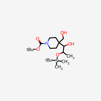 CC(O[Si](C)(C)C(C)(C)C)C(O)C1(CO)CCN(C(=O)OC(C)(C)C)CC1